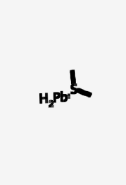 CSC.[PbH2]